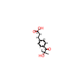 CC(C)(O)C(=O)c1ccc(CCC(=O)O)cc1